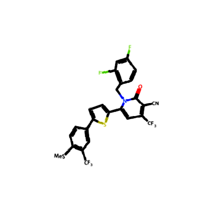 CSc1ccc(-c2ccc(-c3cc(C(F)(F)F)c(C#N)c(=O)n3Cc3ccc(F)cc3F)s2)cc1C(F)(F)F